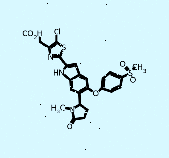 CN1C(=O)CCC1c1cc2[nH]c(-c3nc(CC(=O)O)c(Cl)s3)cc2cc1Oc1ccc(S(C)(=O)=O)cc1